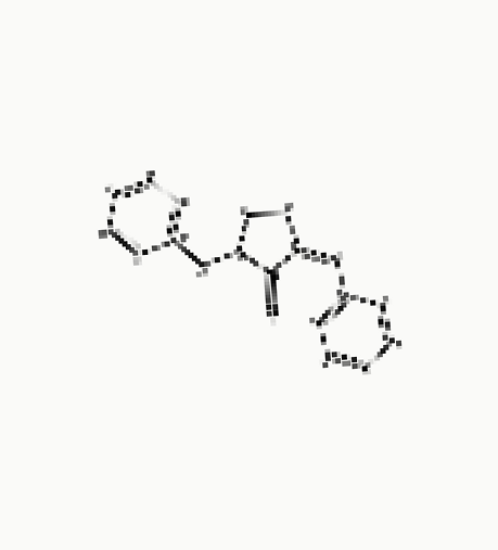 O=C1/C(=C\c2ccccc2)CCC1Cc1ccccc1